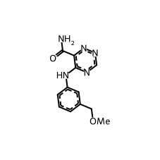 COCc1cccc(Nc2ncnnc2C(N)=O)c1